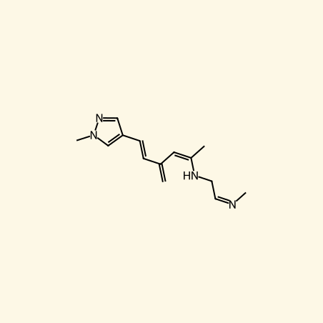 C=C(/C=C(/C)NC/C=N\C)/C=C/c1cnn(C)c1